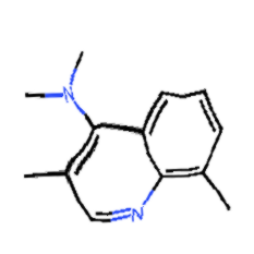 Cc1cnc2c(C)cccc2c1N(C)C